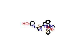 CCN(c1cccc2cc(-c3ncc(CN4CCCC(O)C4)s3)[nH]c12)S(=O)(=O)c1cccs1